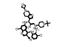 CC(C)(C)N1CCC(N(N)/C=C(\N)[C@@H](Nc2cc(Cl)c3ncc(C#N)c(Nc4cccc(Cl)c4F)c3c2)c2csc3c2CCN(C2COC2)C3)CC1